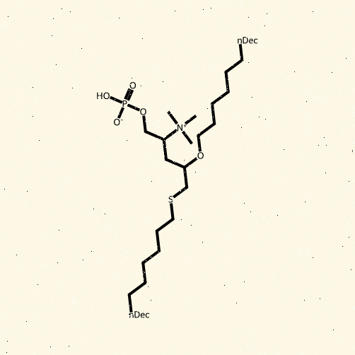 CCCCCCCCCCCCCCCCOC(CSCCCCCCCCCCCCCCCC)CC(COP(=O)([O-])O)[N+](C)(C)C